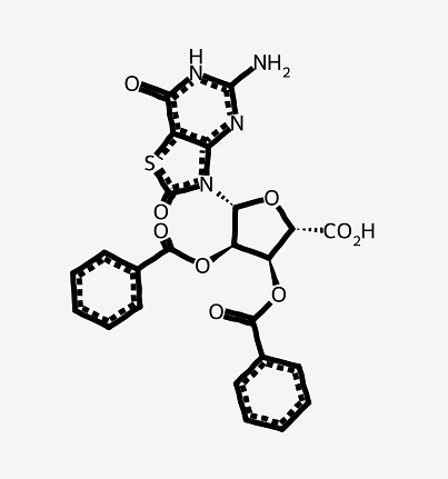 Nc1nc2c(sc(=O)n2[C@@H]2O[C@H](C(=O)O)[C@@H](OC(=O)c3ccccc3)[C@H]2OC(=O)c2ccccc2)c(=O)[nH]1